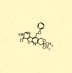 CC1(C)Cc2nc3sc4c(=O)[nH]cnc4c3c(COc3ccccc3)c2CO1